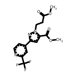 COC(=O)CCn1nc(-c2ccnc(C(F)(F)F)c2)cc1C(=O)OC